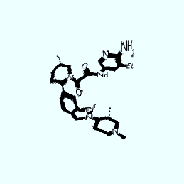 CCc1cc(NC(=O)C(=O)N2C[C@@H](C)CC[C@@H]2c2ccc3cn(C4CCN(C)C[C@H]4C)nc3c2)cnc1N